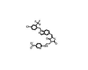 O=C1SC(=Cc2ccc3c(cnn3Cc3ccc(Cl)cc3C(F)(F)F)c2)C(=O)N1CCNc1ccc([N+](=O)[O-])cn1